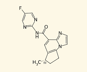 C[C@H]1CCc2c1cc(C(=O)Nc1ncc(F)cn1)c1nccn21